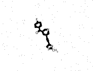 Cc1nc(C#Cc2cncc(C(=O)c3ccc(F)cc3)c2)cs1